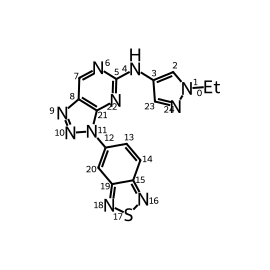 CCn1cc(Nc2ncc3nnn(-c4ccc5nsnc5c4)c3n2)cn1